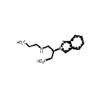 O=C(O)CCNCC(CC(=O)O)n1cc2ccccc2n1